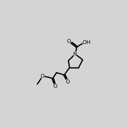 COC(=O)CC(=O)C1CCN(C(=O)O)C1